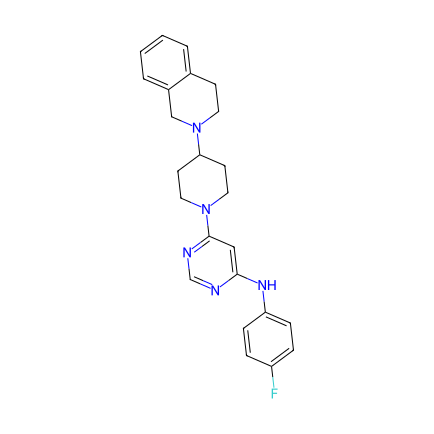 Fc1ccc(Nc2cc(N3CCC(N4CCc5ccccc5C4)CC3)ncn2)cc1